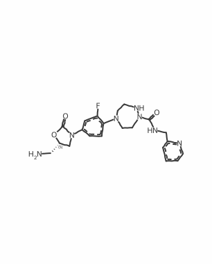 NC[C@H]1CN(c2ccc(N3CCNN(C(=O)NCc4ccccn4)CC3)c(F)c2)C(=O)O1